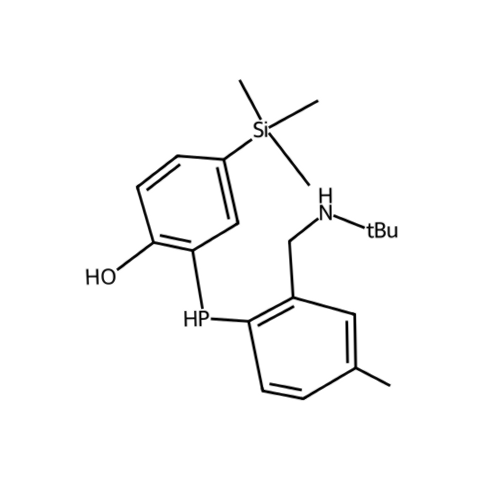 Cc1ccc(Pc2cc([Si](C)(C)C)ccc2O)c(CNC(C)(C)C)c1